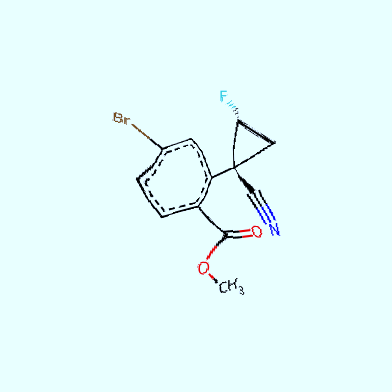 COC(=O)c1ccc(Br)cc1[C@@]1(C#N)C[C@H]1F